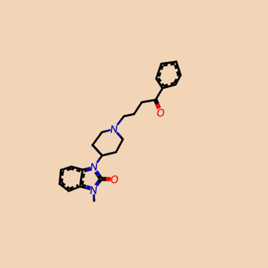 Cn1c(=O)n(C2CCN(CCCC(=O)c3ccccc3)CC2)c2ccccc21